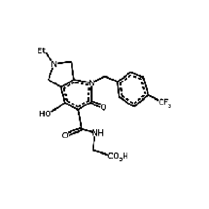 CCN1Cc2c(O)c(C(=O)NCC(=O)O)c(=O)n(Cc3ccc(C(F)(F)F)cc3)c2C1